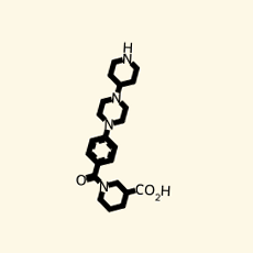 O=C(O)C1CCCN(C(=O)c2ccc(N3CCN(C4CCNCC4)CC3)cc2)C1